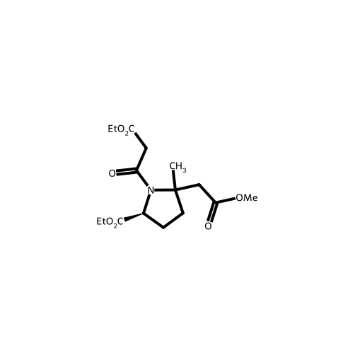 CCOC(=O)CC(=O)N1[C@H](C(=O)OCC)CCC1(C)CC(=O)OC